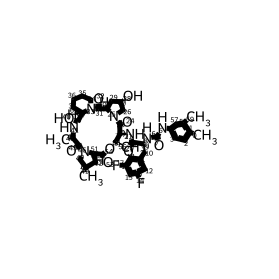 Cc1ccc(NC(=O)N[C@@H](Cc2cc(F)cc(F)c2)C(=O)N[C@@H]2C(=O)N3C[C@H](O)C[C@H]3C(=O)N3CCCC[C@H]3C(O)N[C@@H](C)C(=O)N3C[C@H](C)C[C@H]3C(=O)O[C@H]2C)cc1C